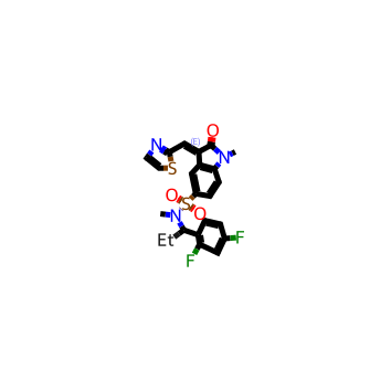 CCC(c1ccc(F)cc1F)N(C)S(=O)(=O)c1ccc2c(c1)/C(=C\c1nccs1)C(=O)N2C